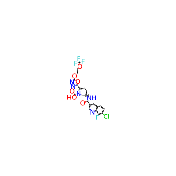 O=C(N[C@H]1CC[C@H](c2nnc(OCCOC(F)(F)F)o2)N(C(=O)O)C1)c1cnc2c(F)c(Cl)ccc2c1